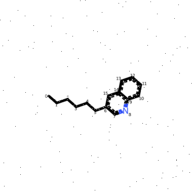 CCCCCCc1[c]nc2ccccc2c1